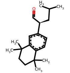 CC(C)C[C@H](C=O)c1ccc2c(c1)C(C)(C)CCC2(C)C